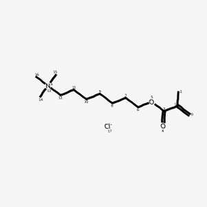 C=C(C)C(=O)OCCCCCCC[N+](C)(C)C.[Cl-]